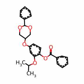 CC(C)Oc1cc(OC2COC(c3ccccc3)OC2)ccc1OC(=O)c1ccccc1